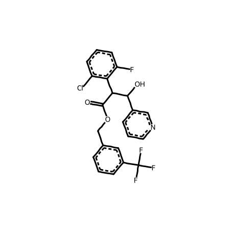 O=C(OCc1cccc(C(F)(F)F)c1)C(c1c(F)cccc1Cl)C(O)c1cccnc1